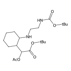 CC(=O)OC(C(=O)OC(C)(C)C)C1CCCCC1NCCNC(=O)OC(C)(C)C